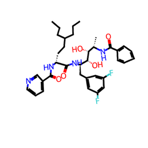 CCCC(CCC)CC[C@@H](NC(=O)c1cccnc1)C(=O)N[C@H](Cc1cc(F)cc(F)c1)[C@@H](O)[C@H](O)[C@H](C)NC(=O)c1ccccc1